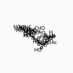 CCCC(=O)OCN(C(=O)[C@@H](NC(=O)[C@H]1CCCCN1C)C(C)CC)[C@H](C[C@@H](OC(C)=O)c1nc(C(=O)N[C@@H](Cc2ccc(O)cc2)C[C@H](C)C(=O)NNC(=O)OCCSSCCC(=O)NC(CCC(=O)NC[C@H](O)[C@@H](O)[C@H](O)[C@H](O)CO)C(=O)NC(CCC(=O)O)C(=O)NC(CCC=O)C(=O)NC(C=O)CCC(=O)O)cs1)C(C)C